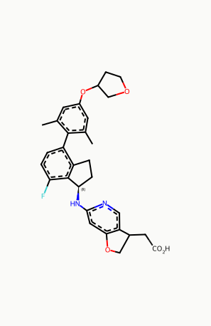 Cc1cc(OC2CCOC2)cc(C)c1-c1ccc(F)c2c1CC[C@H]2Nc1cc2c(cn1)C(CC(=O)O)CO2